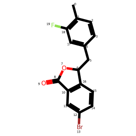 Cc1ccc(CC2OC(=O)c3cc(Br)ccc32)cc1F